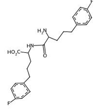 NC(CCCc1ccc(F)cc1)C(=O)NC(CCCc1ccc(F)cc1)C(=O)O